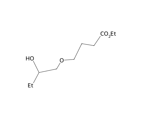 CCOC(=O)CCCOCC(O)CC